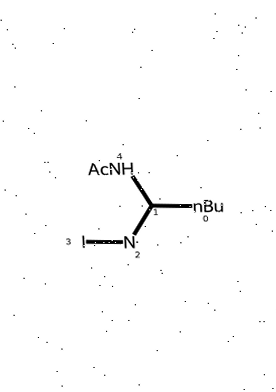 CCCCC([N]I)NC(C)=O